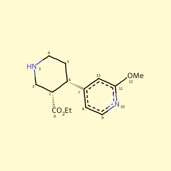 CCOC(=O)[C@@H]1CNCC[C@@H]1c1ccnc(OC)c1